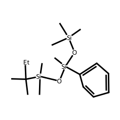 CCC(C)(C)[Si](C)(C)O[Si](C)(O[Si](C)(C)C)c1ccccc1